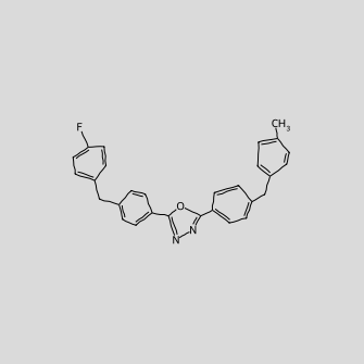 Cc1ccc(Cc2ccc(-c3nnc(-c4ccc(Cc5ccc(F)cc5)cc4)o3)cc2)cc1